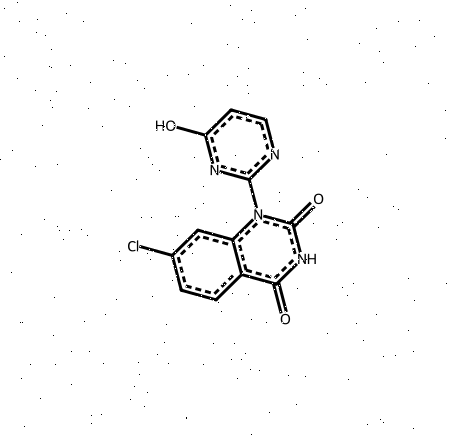 O=c1[nH]c(=O)n(-c2nccc(O)n2)c2cc(Cl)ccc12